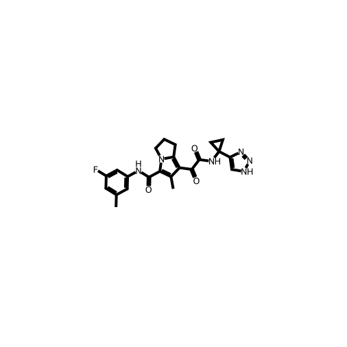 Cc1cc(F)cc(NC(=O)c2c(C)c(C(=O)C(=O)NC3(c4c[nH]nn4)CC3)c3n2CCC3)c1